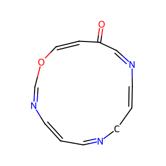 O=C1C=COC=NC=CC=NCC=CN=C1